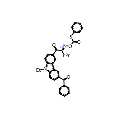 CCC/C(=N\OC(=O)Sc1ccccc1)C(=O)c1ccc2c(c1)c1cc(C(=O)c3ccccc3)ccc1n2CC